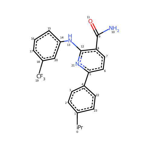 CC(C)c1ccc(-c2ccc(C(N)=O)c(Nc3cccc(C(F)(F)F)c3)n2)cc1